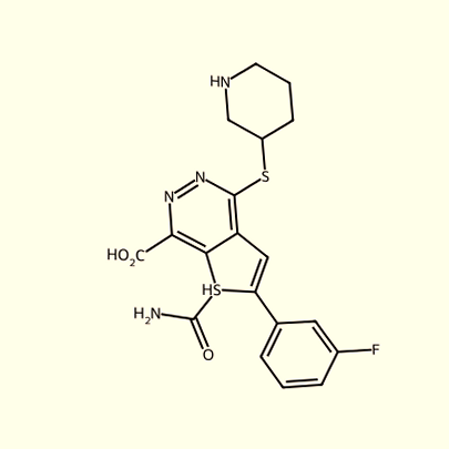 NC(=O)[SH]1C(c2cccc(F)c2)=Cc2c(SC3CCCNC3)nnc(C(=O)O)c21